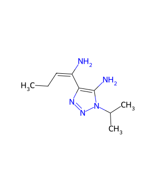 CC/C=C(/N)c1nnn(C(C)C)c1N